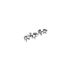 Cc1ccnc(CNC(=O)c2cccc(NCc3nnc(-c4ccncn4)n3C)c2)c1F